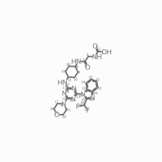 O=C(O)NCC(=O)NC1CCC(Nc2nc(N3CCOCC3)nc(-n3c(C(F)F)nc4ccccc43)n2)CC1